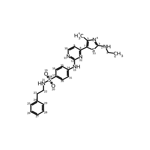 CCNc1nc(C)c(-c2ccnc(Nc3ccc(S(=O)(=O)NCCc4ccccc4)cc3)n2)s1